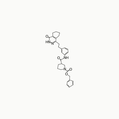 O=C(Nc1cccc(CCc2n[nH]c(=O)c3c2CCCC3)c1)C1CCCN(C(=O)OCc2ccccc2)C1